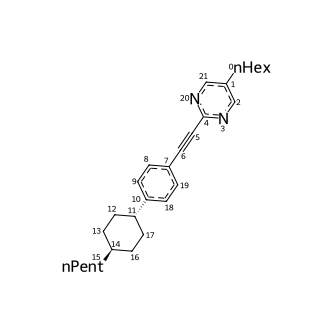 CCCCCCc1cnc(C#Cc2ccc([C@H]3CC[C@H](CCCCC)CC3)cc2)nc1